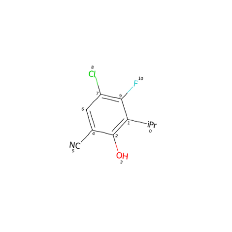 CC(C)c1c(O)c(C#N)cc(Cl)c1F